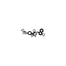 COCCNC1CCc2c(sc3ncn(Cc4ccc(OC)c5ccccc45)c(=O)c23)C1